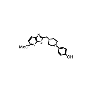 COc1ccc2nc(CN3CCN(c4ccc(O)cc4)CC3)sc2n1